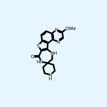 COc1cnc2c(ccc3sc4c(c32)NCC2(CCNCC2)NC4=O)n1